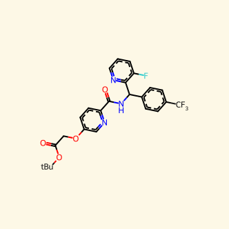 CC(C)(C)OC(=O)COc1ccc(C(=O)NC(c2ccc(C(F)(F)F)cc2)c2ncccc2F)nc1